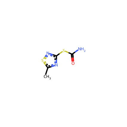 Cc1nc(SC(N)=O)ns1